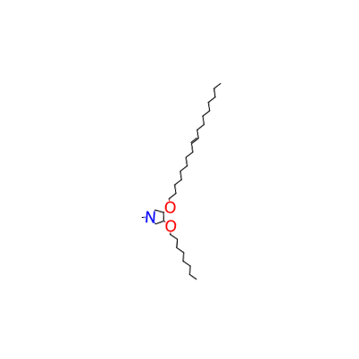 CCCCCCCCC=CCCCCCCCCOC1CN(C)CC1OCCCCCCCC